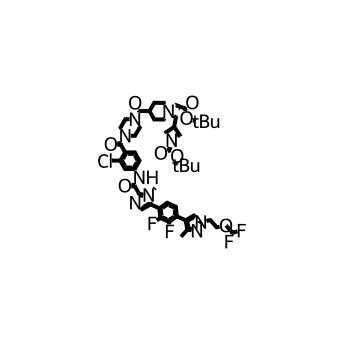 Cc1nn(CCOC(F)F)cc1-c1ccc(-c2cnc(C(=O)Nc3ccc(C(=O)N4CCN(C(=O)C5CC[N+](CC(=O)OC(C)(C)C)(CC6CN(C(=O)OC(C)(C)C)C6)CC5)CC4)c(Cl)c3)n2C)c(F)c1F